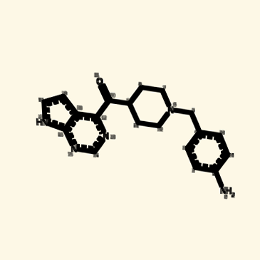 Nc1ccc(CN2CCC(C(=O)c3ncnc4[nH]ccc34)CC2)cc1